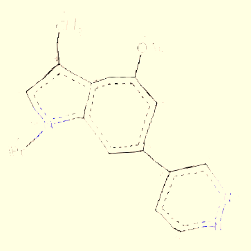 CC(=O)Oc1cc(-c2ccnnc2)cc2c1c(C)cn2C(C)C